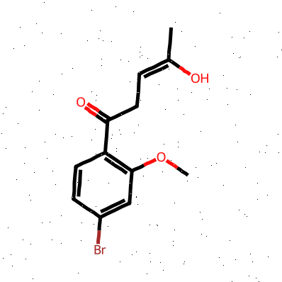 COc1cc(Br)ccc1C(=O)C/C=C(/C)O